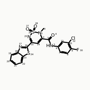 CN1C(C(=O)Nc2ccc(F)c(Cl)c2)=CC(c2nc3ccccc3s2)=NS1(=O)=O